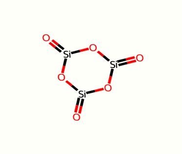 O=[si]1o[si](=O)o[si](=O)o1